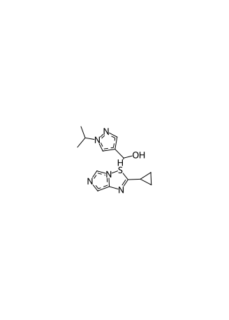 CC(C)n1cc(C(O)[SH]2C(C3CC3)=Nc3cncn32)cn1